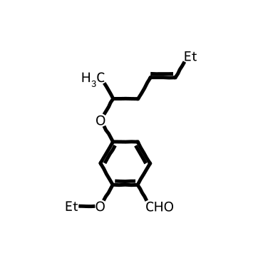 CCC=CCC(C)Oc1ccc(C=O)c(OCC)c1